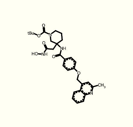 Cc1cc(COc2ccc(C(=O)NC3(CC(=O)NO)CCCN(C(=O)OC(C)(C)C)C3)cc2)c2ccccc2n1